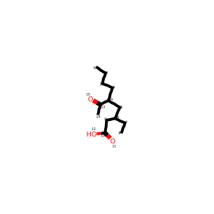 CCCCC(CC(CC)CC(=O)O)C(C)=O